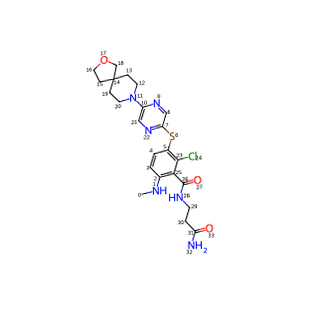 CNc1ccc(Sc2cnc(N3CCC4(CCOC4)CC3)cn2)c(Cl)c1C(=O)NCCC(N)=O